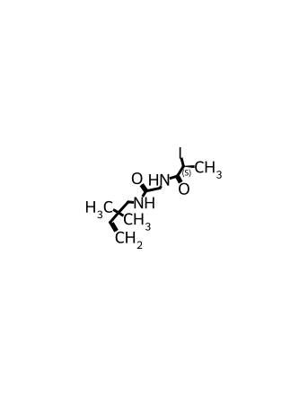 C=CC(C)(C)CNC(=O)CNC(=O)[C@H](C)I